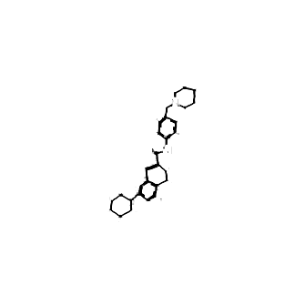 O=C(Nc1ccc(CN2CCCCC2)cc1)C1=Cc2cc(C3CCCCC3)ccc2CC1